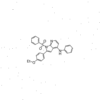 CCOc1ccc(-c2cc3c(Nc4ccccc4)ccnc3n2S(=O)(=O)c2ccccc2)cc1